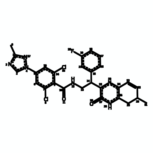 Cc1ncn(-c2cc(Cl)c(C(=O)NCC(c3cccc(F)c3)c3nc4c([nH]c3=O)CC(C)C=C4)c(Cl)c2)n1